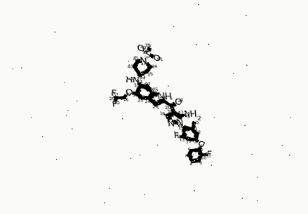 Cc1cc(Oc2ccccc2F)cc(F)c1-n1ncc(C(=O)c2cc3cc(OCC(F)F)c(NC4CCN(S(C)(=O)=O)CC4)cc3[nH]2)c1N